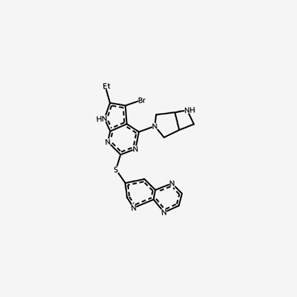 CCc1[nH]c2nc(Sc3cnc4nccnc4c3)nc(N3CC4CNC4C3)c2c1Br